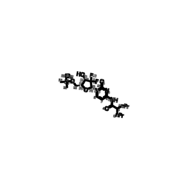 CCCC(CCC)C(=O)Nc1ccn([C@@H]2O[C@H](CO[Si](C)(C)C(C)(C)C)[C@H](O)C2(F)F)c(=O)n1